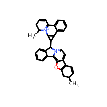 CC1C=Cc2c(oc3c4[n+](ccc23)C(C2C3c5ccccc5C5=[N+](C(C)CC=C5)C32)c2ccccc2-4)C1